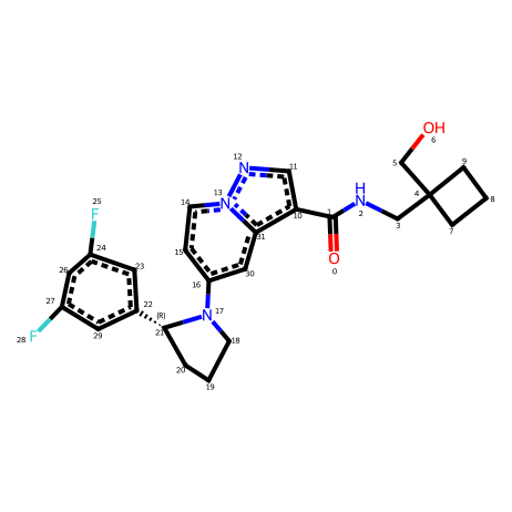 O=C(NCC1(CO)CCC1)c1cnn2ccc(N3CCC[C@@H]3c3cc(F)cc(F)c3)cc12